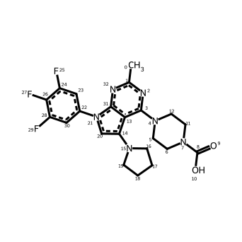 Cc1nc(N2CCN(C(=O)O)CC2)c2c(N3CCCC3)cn(-c3cc(F)c(F)c(F)c3)c2n1